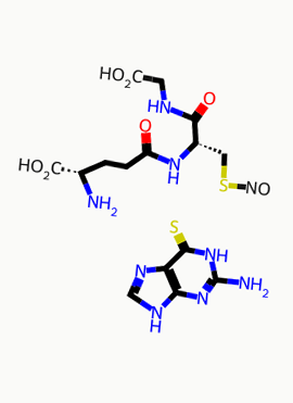 N[C@@H](CCC(=O)N[C@@H](CSN=O)C(=O)NCC(=O)O)C(=O)O.Nc1nc2[nH]cnc2c(=S)[nH]1